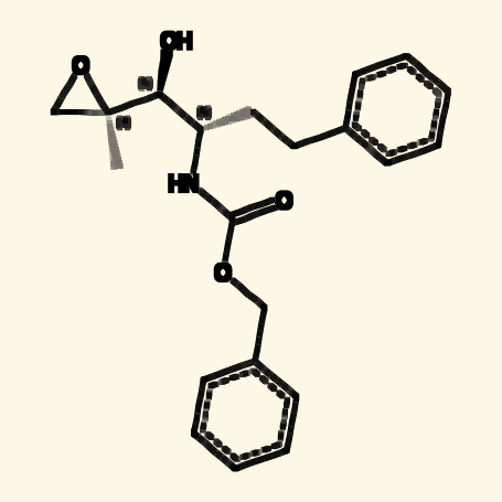 C[C@]1([C@@H](O)[C@H](CCc2ccccc2)NC(=O)OCc2ccccc2)CO1